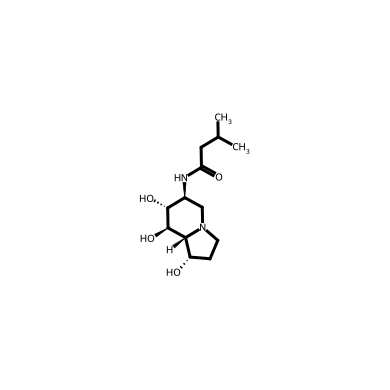 CC(C)CC(=O)N[C@H]1CN2CC[C@H](O)[C@@H]2[C@@H](O)[C@@H]1O